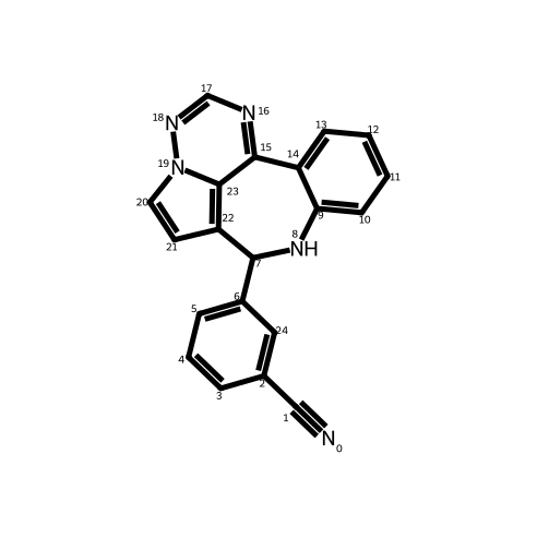 N#Cc1cccc(C2Nc3ccccc3-c3ncnn4ccc2c34)c1